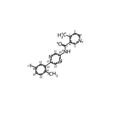 Cc1ccncc1C(=O)Nc1cnc(-c2cc(I)ccc2C)cn1